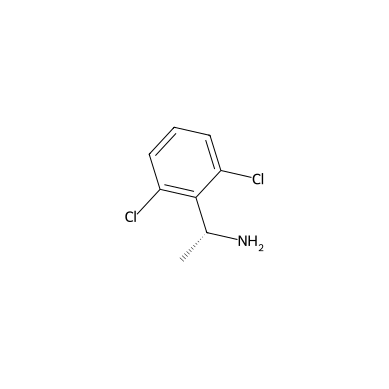 C[C@@H](N)c1c(Cl)cccc1Cl